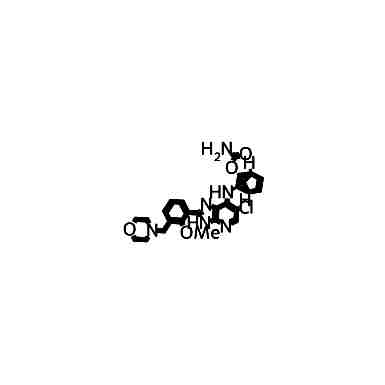 COc1c(CN2CCOCC2)cccc1-c1nc2c(N[C@H]3[C@@H](OC(N)=O)[C@@H]4C=C[C@H]3C4)c(Cl)cnc2[nH]1